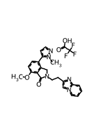 COc1ccc(-c2ccnn2C)c2c1C(=O)N(CCc1cn3ccccc3n1)C2.O=C(O)C(F)(F)F